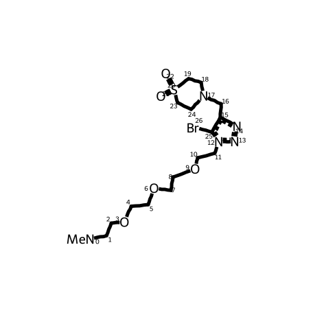 CNCCOCCOCCOCCn1nnc(CN2CCS(=O)(=O)CC2)c1Br